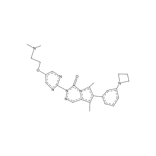 Cc1c(-c2cccc(N3CCC3)c2)c(C)n2c(=O)n(-c3ncc(OCCN(C)C)cn3)ncc12